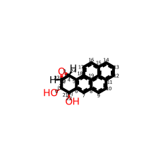 O[C@@H]1[C@@H]2O[C@@H]2c2c(cc3ccc4cccc5ccc2c3c45)[C@H]1O